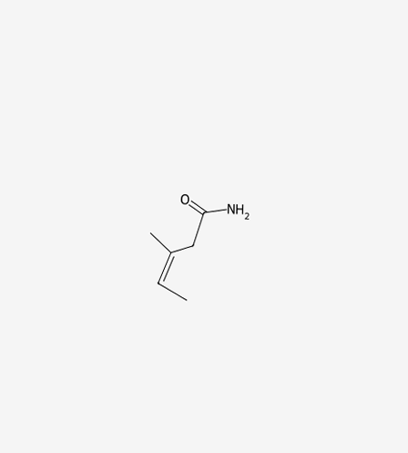 C/C=C(/C)CC(N)=O